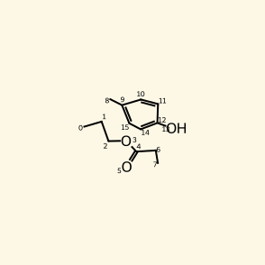 CCCOC(=O)CC.Cc1ccc(O)cc1